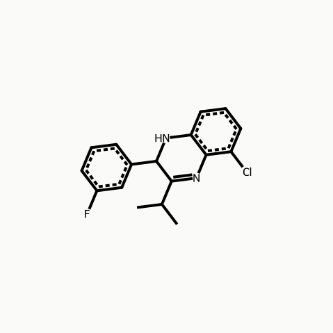 CC(C)C1=Nc2c(Cl)cccc2NC1c1cccc(F)c1